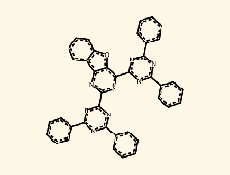 c1ccc(-c2nc(-c3ccccc3)nc(-c3nc(-c4nc(-c5ccccc5)nc(-c5ccccc5)n4)c4oc5ccccc5c4n3)n2)cc1